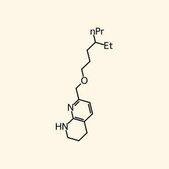 CCCC(CC)CCCOCc1ccc2c(n1)NCCC2